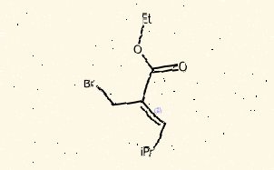 CCOC(=O)/C(=C/C(C)C)CBr